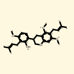 COc1ccc(C2COc3cc(OC)c(CC=C(C)C)c(OC)c3C2)c(O)c1CC=C(C)C